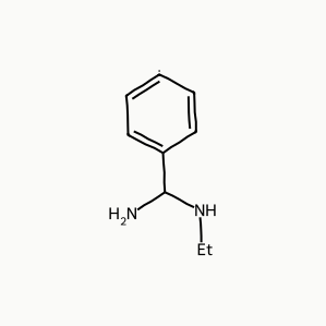 CCNC(N)c1cc[c]cc1